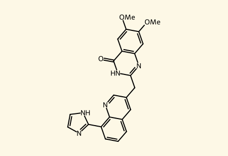 COc1cc2nc(Cc3cnc4c(-c5ncc[nH]5)cccc4c3)[nH]c(=O)c2cc1OC